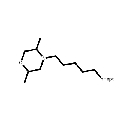 CCCCCCCCCCCCN1CC(C)OCC1C